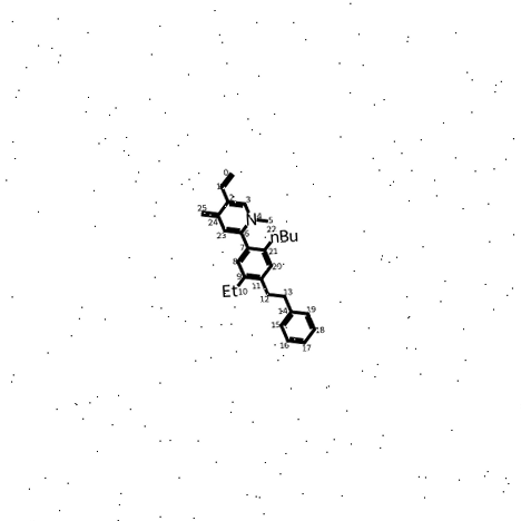 C=CC1=CN(C)C(c2cc(CC)c(CCc3ccccc3)cc2CCCC)=CC1=C